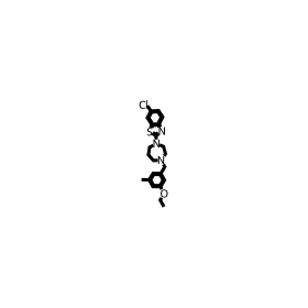 CCOc1cc(C)cc(CN2CCCN(c3nc4ccc(Cl)cc4s3)CC2)c1